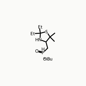 CCC1(CC)NC(C[PH](=O)OCC(C)C)C(C)(C)S1